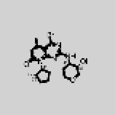 Cc1cc(=O)n([C@@H]2CCC[C@@H]2C)c2nc(N[C@@H]3CCOC[C@H]3O)nc(Br)c12